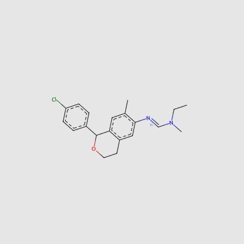 CCN(C)/C=N/c1cc2c(cc1C)C(c1ccc(Cl)cc1)OCC2